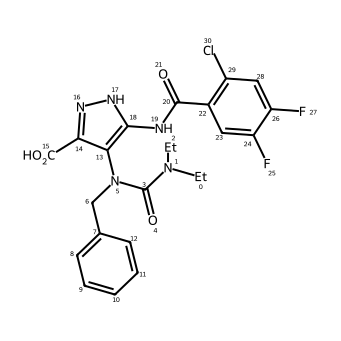 CCN(CC)C(=O)N(Cc1ccccc1)c1c(C(=O)O)n[nH]c1NC(=O)c1cc(F)c(F)cc1Cl